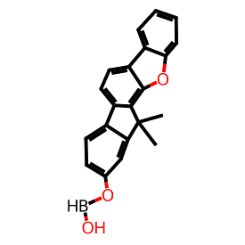 CC1(C)c2cc(OBO)ccc2-c2ccc3c(oc4ccccc43)c21